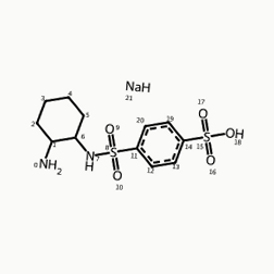 NC1CCCCC1NS(=O)(=O)c1ccc(S(=O)(=O)O)cc1.[NaH]